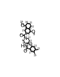 COc1cc(C(=O)N2CCC3(CC2)NC(=O)c2cc(C)c(C)cc2O3)cc2c(OC)cccc12